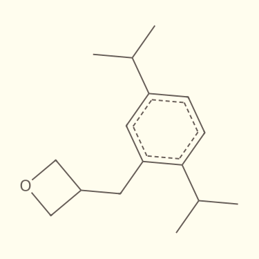 CC(C)c1ccc(C(C)C)c(CC2COC2)c1